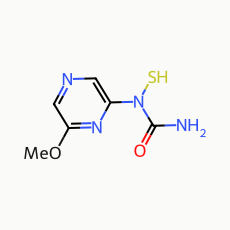 COc1cncc(N(S)C(N)=O)n1